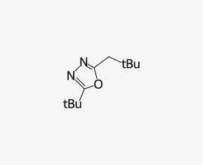 CC(C)(C)Cc1nnc(C(C)(C)C)o1